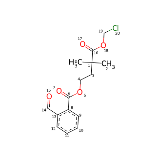 CC(C)(CCOC(=O)c1ccccc1C=O)C(=O)OCCl